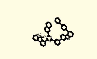 CC1(C)c2ccccc2-c2cccc(-c3nc(-c4cccc(-c5ccc6c(c5)oc5cccc(-c7ccc(-c8ccccc8)cc7)c56)c4)nc(-c4ccc5ccccc5c4)n3)c21